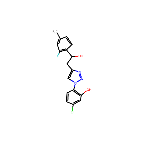 Oc1cc(Cl)ccc1-n1cc(CC(O)c2ccc(C(F)(F)F)cc2F)nn1